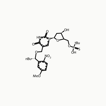 CCCC[C@H](OCc1cn([C@H]2C[C@@H](O)C(COP(O)(=S)C(C)(C)C)O2)c(=O)[nH]c1=O)c1cc(OC)ccc1[N+](=O)[O-]